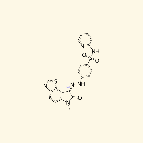 CN1C(=O)/C(=N\Nc2ccc(S(=O)(=O)Nc3ccccn3)cc2)c2c1ccc1ncsc21